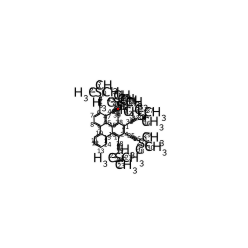 C[Si](C)(C)C#Cc1ccc2c3ccccc3c3c(C#C[Si](C)(C)C)c(C#C[Si](C)(C)C)c(C#C[Si](C)(C)C)c(C#C[Si](C)(C)C)c3c2c1C#C[Si](C)(C)C